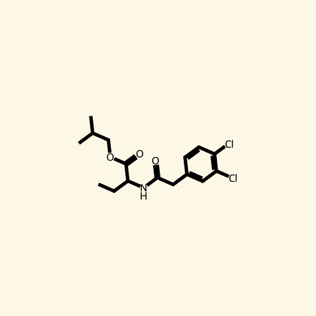 CCC(NC(=O)Cc1ccc(Cl)c(Cl)c1)C(=O)OCC(C)C